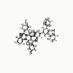 Cc1c2c(-c3ccc(F)cc3)nc3cc(-c4cc(C5=CC=CCN5)cc(-c5ccccn5)c4)ccc3c2c(C)c2c(-c3ccc(F)cc3)nc3ccccc3c12